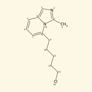 Cc1ncc2cccc(CCCCCCl)n12